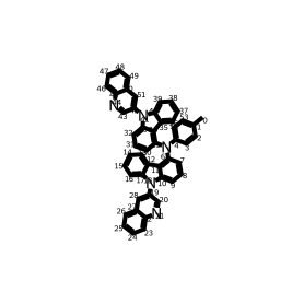 Cc1ccc(N(c2cccc3c2c2ccccc2n3-c2cnc3ccccc3c2)c2cccc3c2c2ccccc2n3-c2cnc3ccccc3c2)cc1